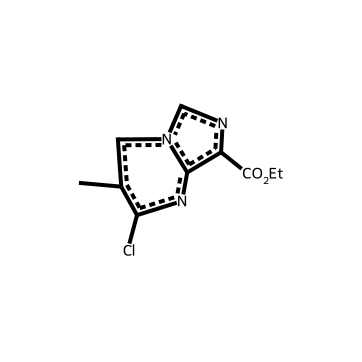 CCOC(=O)c1ncn2cc(C)c(Cl)nc12